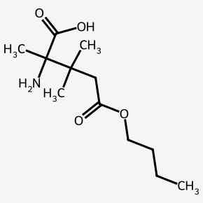 CCCCOC(=O)CC(C)(C)C(C)(N)C(=O)O